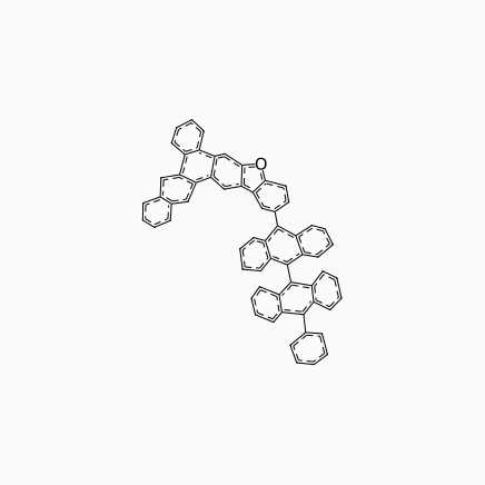 c1ccc(-c2c3ccccc3c(-c3c4ccccc4c(-c4ccc5oc6cc7c8ccccc8c8cc9ccccc9cc8c7cc6c5c4)c4ccccc34)c3ccccc23)cc1